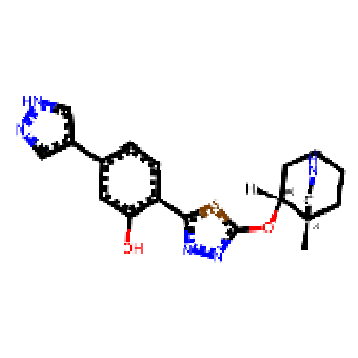 C[C@@]12CCC(C[C@H]1Oc1nnc(-c3ccc(-c4cn[nH]c4)cc3O)s1)NC2